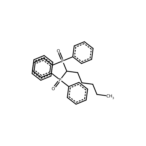 CCCCCC(P(=O)(c1ccccc1)c1ccccc1)P(=O)(c1ccccc1)c1ccccc1